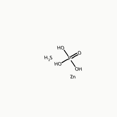 O=P(O)(O)O.S.[Zn]